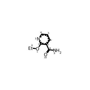 [CH2]COc1ncccc1C(N)=O